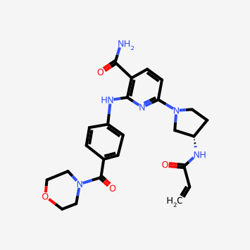 C=CC(=O)N[C@H]1CCN(c2ccc(C(N)=O)c(Nc3ccc(C(=O)N4CCOCC4)cc3)n2)C1